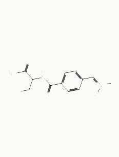 C[N+]([O-])=Cc1ccc(C(=O)NC(CS)C(=O)O)cc1